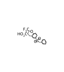 O=C(O)[C@@H]1Cc2cc(S(=O)(=O)Cc3ccccc3)ccc2O[C@@H]1C(F)(F)F